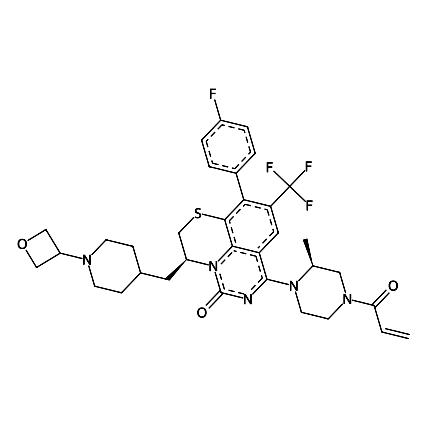 C=CC(=O)N1CCN(c2nc(=O)n3c4c(c(-c5ccc(F)cc5)c(C(F)(F)F)cc24)SC[C@@H]3CC2CCN(C3COC3)CC2)[C@@H](C)C1